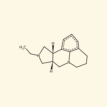 CCN1C[C@H]2CN3CCCc4cccc(c43)[C@H]2C1